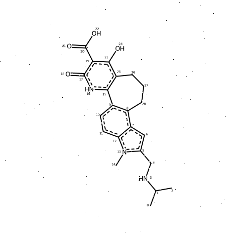 CC(C)NCc1cc2c3c(ccc2n1C)-c1[nH]c(=O)c(C(=O)O)c(O)c1CCC3